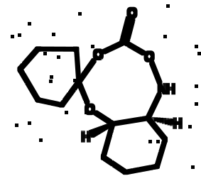 O=C1ON[C@H]2CCCC[C@@H]2OC2(CCCCC2)O1